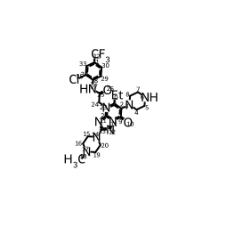 CCc1c(N2CCNCC2)c(=O)n2nc(N3CCN(C)CC3)nc2n1CC(=O)Nc1ccc(C(F)(F)F)cc1Cl